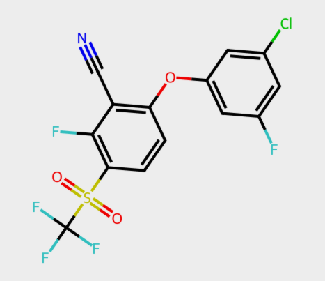 N#Cc1c(Oc2cc(F)cc(Cl)c2)ccc(S(=O)(=O)C(F)(F)F)c1F